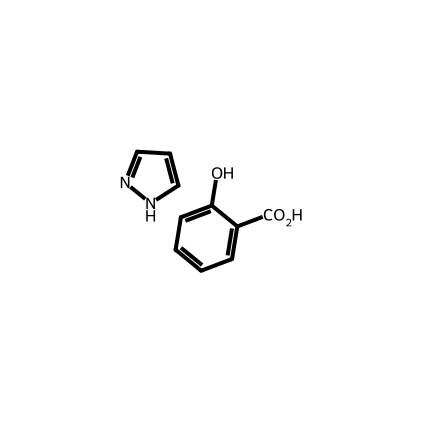 O=C(O)c1ccccc1O.c1cn[nH]c1